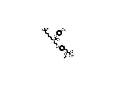 CCOC(Cc1ccc(OCCN(CCCCCC(C)(F)F)C(=O)Oc2ccc(OC)cc2)cc1)C(=O)O